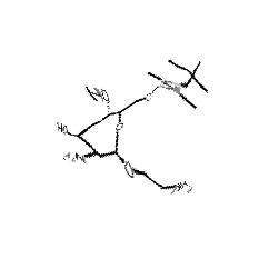 CC(C)(C)[Si](C)(C)OCC1O[C@@H](OCCN)C(N)[C@@H](O)[C@@H]1O